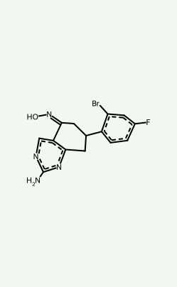 Nc1ncc2c(n1)CC(c1ccc(F)cc1Br)C/C2=N/O